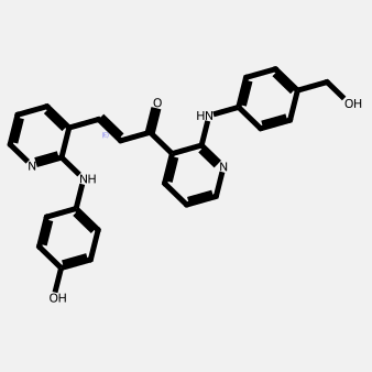 O=C(/C=C/c1cccnc1Nc1ccc(O)cc1)c1cccnc1Nc1ccc(CO)cc1